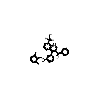 Cc1cccc(C)c1COc1cccc(-c2c(C(=O)c3ccccc3)cnc3c(C(F)(F)F)cccc23)c1